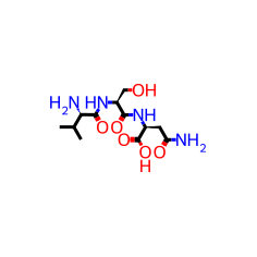 CC(C)[C@H](N)C(=O)N[C@@H](CO)C(=O)N[C@@H](CC(N)=O)C(=O)O